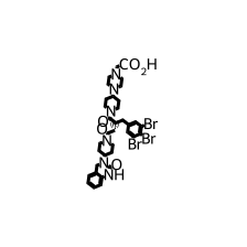 O=C(O)CN1CCN(C2CCN(C(=O)[C@@H](CC(=O)N3CCC(N4Cc5ccccc5NC4=O)CC3)Cc3cc(Br)c(Br)c(Br)c3)CC2)CC1